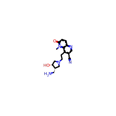 Cn1c(=O)ccc2ncc(C#N)c(CCN3C[C@H](CN)[C@H](O)C3)c21